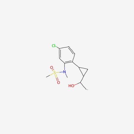 [CH2]C(O)C1CC1c1ccc(Cl)cc1N(C)S(C)(=O)=O